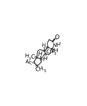 CC(=O)[C@H]1[C@H](C)C[C@H]2[C@@H]3CC[C@H]4NC(=O)CC[C@]4(C)[C@H]3CC[C@@]21C